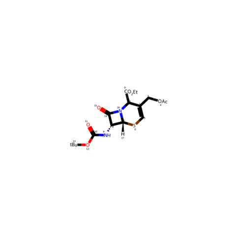 CCOC(=O)C1C(COC(C)=O)=CS[C@@H]2[C@H](NC(=O)OC(C)(C)C)C(=O)N12